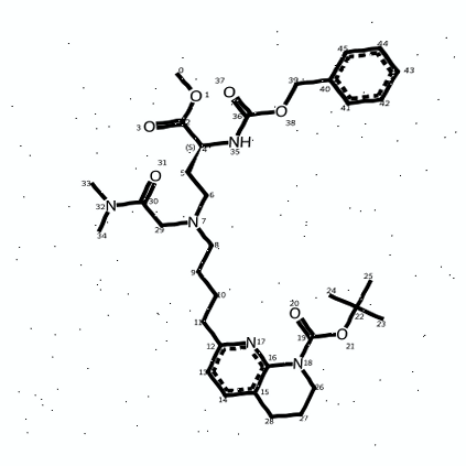 COC(=O)[C@H](CCN(CCCCc1ccc2c(n1)N(C(=O)OC(C)(C)C)CCC2)CC(=O)N(C)C)NC(=O)OCc1ccccc1